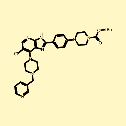 CC(C)(C)OC(=O)N1CCN(c2ccc(-c3nc4c(N5CCN(Cc6cccnc6)CC5)c(Cl)cnc4[nH]3)cc2)CC1